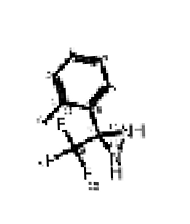 Cc1ccccc1C1(C(F)(F)F)NN1